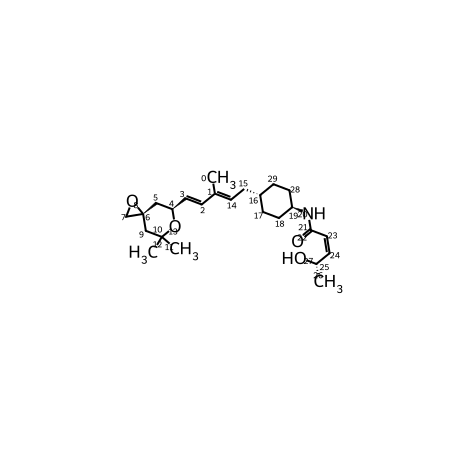 CC(/C=C/[C@@H]1C[C@]2(CO2)CC(C)(C)O1)=C\C[C@H]1CC[C@H](NC(=O)/C=C\[C@H](C)O)CC1